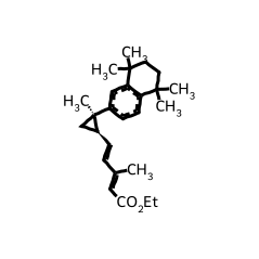 CCOC(=O)/C=C(C)/C=C/[C@H]1C[C@@]1(C)c1ccc2c(c1)C(C)(C)CCC2(C)C